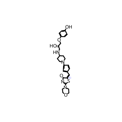 O=C1N=C(N2CCOCC2)S/C1=C/c1ccc(N2CCC(NC[C@H](O)COc3ccc(O)cc3)CC2)cc1